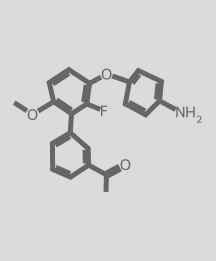 COc1ccc(Oc2ccc(N)cc2)c(F)c1-c1cccc(C(C)=O)c1